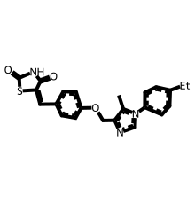 CCc1ccc(-n2cnc(COc3ccc(C=C4SC(=O)NC4=O)cc3)c2C)cc1